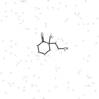 CCC1(CCC#N)CCCCC1=O